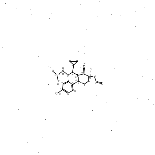 C=CC[C@@]1(C)CC[C@@H](c2ccc(Cl)cc2)N(C(CN[S+](C)[O-])C2CC2)C1=O